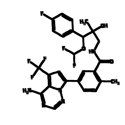 Cc1ccc(-c2cc(C(F)(F)F)c3c(N)ncnn23)cc1C(=O)NCC(C)(O)C(OC(F)F)c1ccc(F)cc1